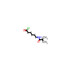 C=C(C)C(=O)NCCCCCC(=O)Cl